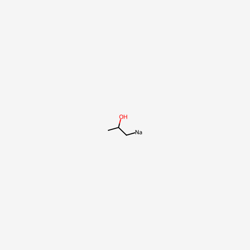 CC(O)[CH2][Na]